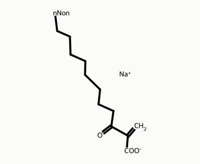 C=C(C(=O)[O-])C(=O)CCCCCCCCCCCCCCCCC.[Na+]